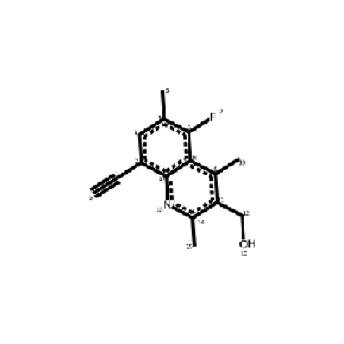 C#Cc1cc(C)c(F)c2c(C)c(CO)c(C)nc12